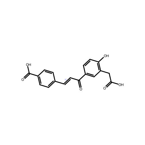 O=C(O)Cc1cc(C(=O)/C=C/c2ccc(C(=O)O)cc2)ccc1O